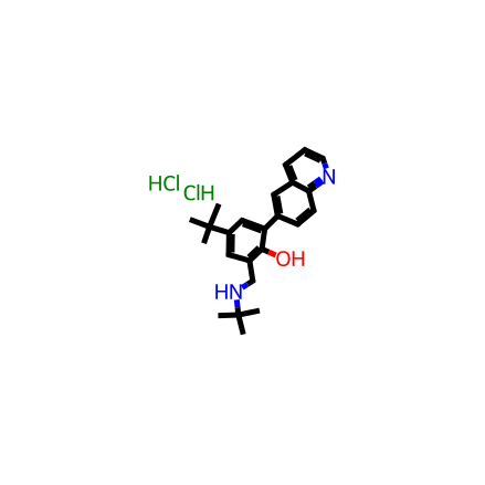 CC(C)(C)NCc1cc(C(C)(C)C)cc(-c2ccc3ncccc3c2)c1O.Cl.Cl